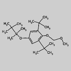 COCOc1c(C(C)(C)C)cc(O[Si](C)(C)C(C)(C)C)cc1C(C)(C)C